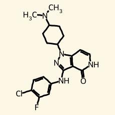 CN(C)C1CCC(n2nc(Nc3ccc(Cl)c(F)c3)c3c(=O)[nH]ccc32)CC1